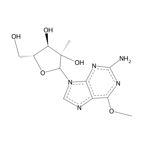 COc1nc(N)nc2c1ncn2C1O[C@H](CO)[C@@H](O)[C@@]1(C)O